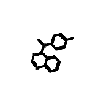 Cc1ccc(N(C)c2ncnc3ccccc23)cc1